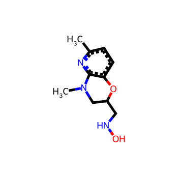 Cc1ccc2c(n1)N(C)CC(CNO)O2